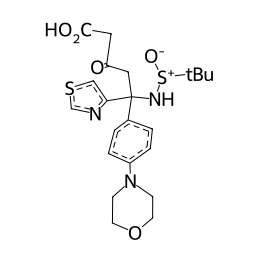 CC(C)(C)[S+]([O-])NC(CC(=O)CC(=O)O)(c1ccc(N2CCOCC2)cc1)c1cscn1